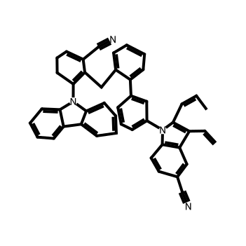 C=Cc1c(/C=C\C)n(-c2cccc(-c3ccccc3CC3=C(n4c5ccccc5c5ccccc54)CCC=C3C#N)c2)c2ccc(C#N)cc12